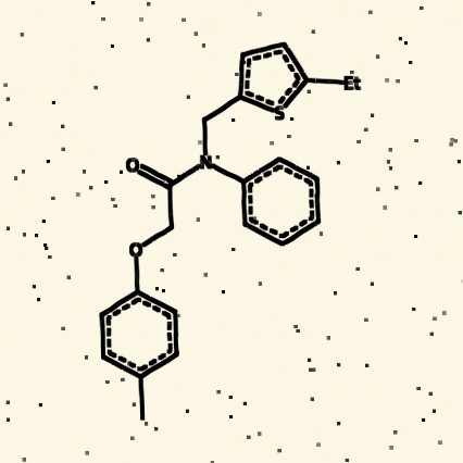 CCc1ccc(CN(C(=O)COc2ccc(C)cc2)c2ccccc2)s1